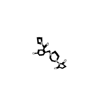 O=C(c1cc(Cl)ccc1CN1CCN(N2C(=O)CCC2=O)CC1)N1CCC1